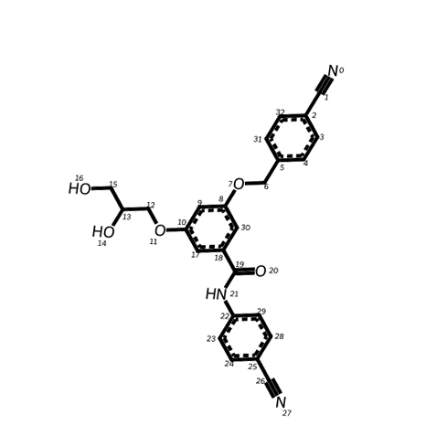 N#Cc1ccc(COc2cc(OCC(O)CO)cc(C(=O)Nc3ccc(C#N)cc3)c2)cc1